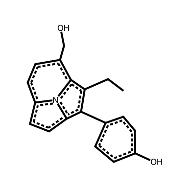 CCc1c(-c2ccc(O)cc2)c2ccc3ccc(CO)c1n32